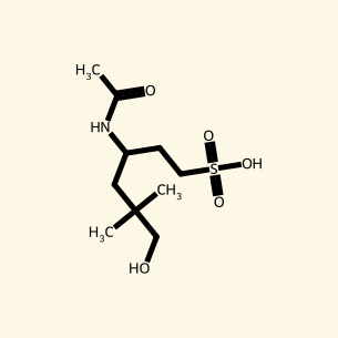 CC(=O)NC(CCS(=O)(=O)O)CC(C)(C)CO